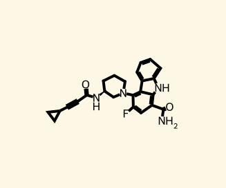 NC(=O)c1cc(F)c(N2CCC[C@H](NC(=O)C#CC3CC3)C2)c2c1[nH]c1ccccc12